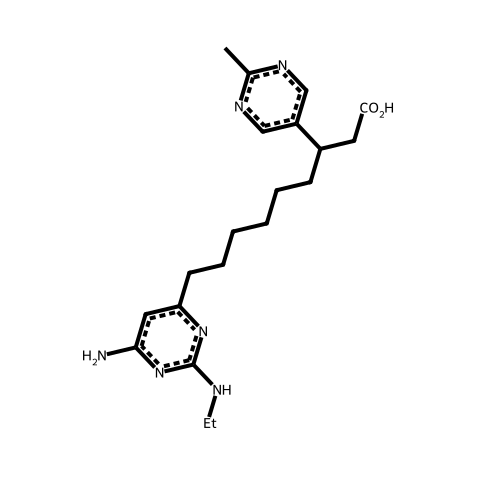 CCNc1nc(N)cc(CCCCCCC(CC(=O)O)c2cnc(C)nc2)n1